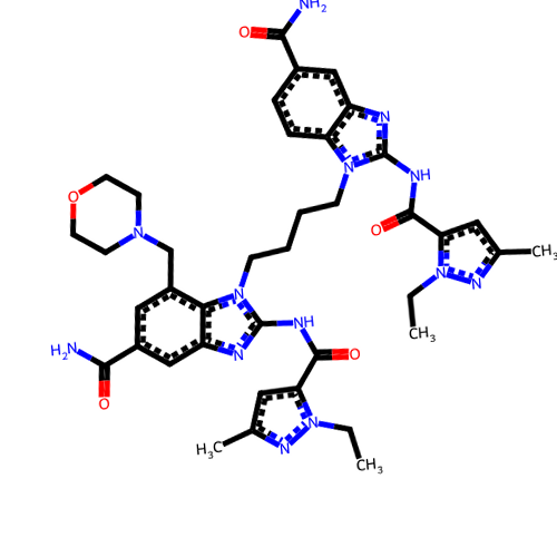 CCn1nc(C)cc1C(=O)Nc1nc2cc(C(N)=O)ccc2n1CCCCn1c(NC(=O)c2cc(C)nn2CC)nc2cc(C(N)=O)cc(CN3CCOCC3)c21